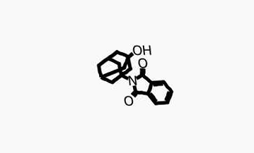 O=C1c2ccccc2C(=O)N1C12CC3CC(CC(O)(C3)C1)C2